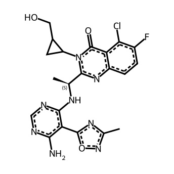 Cc1noc(-c2c(N)ncnc2N[C@@H](C)c2nc3ccc(F)c(Cl)c3c(=O)n2C2CC2CO)n1